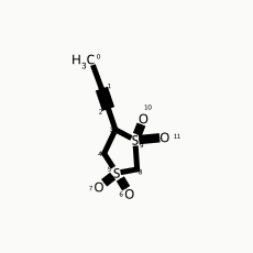 CC#CC1CS(=O)(=O)CS1(=O)=O